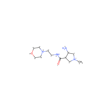 CN1CC(N)C(C(=O)NCCN2CCOCC2)C1